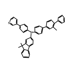 Cc1cc(-c2ccc(N(c3ccc(-c4cccnc4)cc3)c3ccc4c(c3)C(C)(C)c3ccccc3-4)cc2)ccc1-c1ccccc1